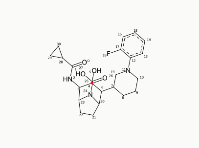 O=C(NC1C(O)C(C2CCCN(c3ccccc3F)C2)C2CCC1N2C(=O)O)C1CC1